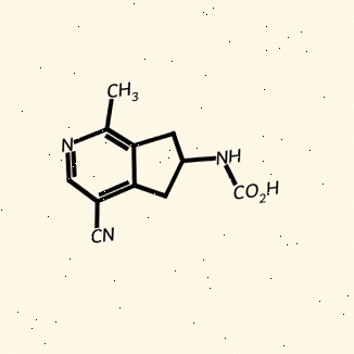 Cc1ncc(C#N)c2c1CC(NC(=O)O)C2